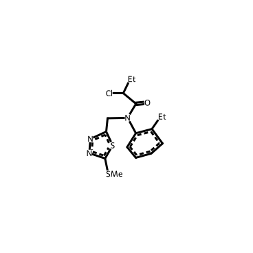 CCc1ccccc1N(Cc1nnc(SC)s1)C(=O)C(Cl)CC